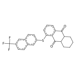 O=C1c2cccc(Sc3ccc4cc(C(F)(F)F)ccc4c3)c2C(=O)C2CCCCC12